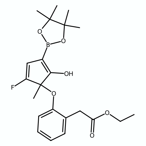 CCOC(=O)Cc1ccccc1OC1(C)C(F)=CC(B2OC(C)(C)C(C)(C)O2)=C1O